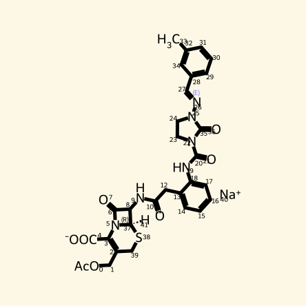 CC(=O)OCC1=C(C(=O)[O-])N2C(=O)C(NC(=O)Cc3ccccc3NC(=O)N3CCN(/N=C/c4cccc(C)c4)C3=O)[C@H]2SC1.[Na+]